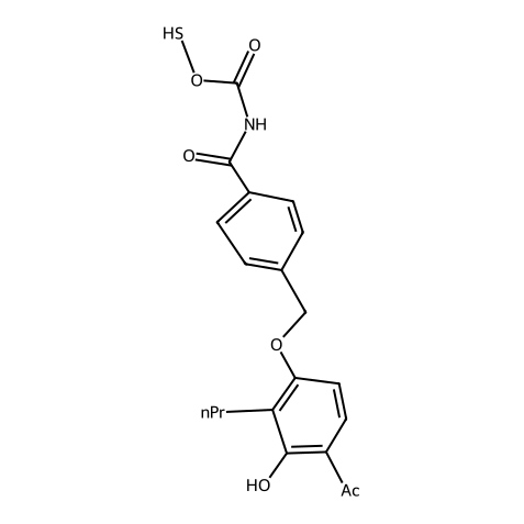 CCCc1c(OCc2ccc(C(=O)NC(=O)OS)cc2)ccc(C(C)=O)c1O